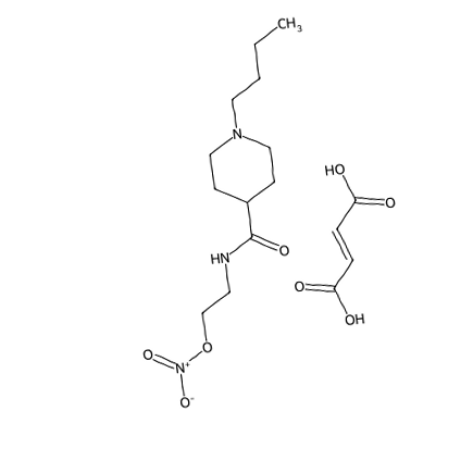 CCCCN1CCC(C(=O)NCCO[N+](=O)[O-])CC1.O=C(O)C=CC(=O)O